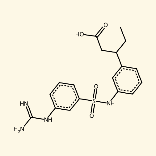 CCC(CC(=O)O)c1cccc(NS(=O)(=O)c2cccc(NC(=N)N)c2)c1